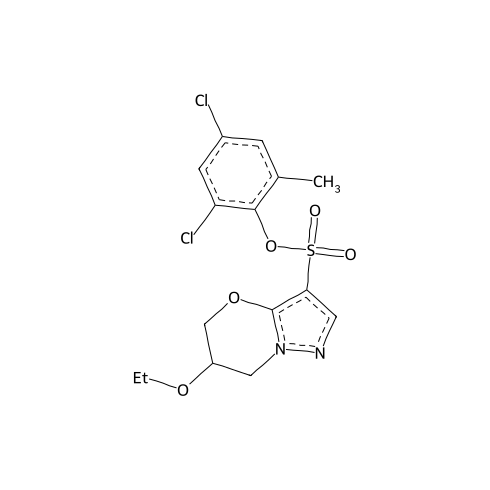 CCOC1COc2c(S(=O)(=O)Oc3c(C)cc(Cl)cc3Cl)cnn2C1